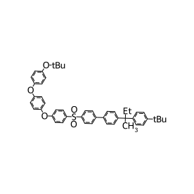 CCC(C)(c1ccc(-c2ccc(S(=O)(=O)c3ccc(Oc4ccc(Oc5ccc(OC(C)(C)C)cc5)cc4)cc3)cc2)cc1)c1ccc(C(C)(C)C)cc1